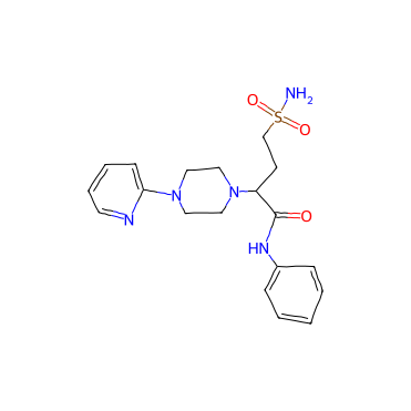 NS(=O)(=O)CCC(C(=O)Nc1ccccc1)N1CCN(c2ccccn2)CC1